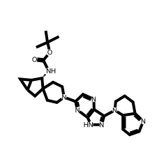 CC(C)(C)OC(=O)N[C@H]1C2CC2CC12CCN(c1cnc3c(N4CCCc5ncccc54)n[nH]c3n1)CC2